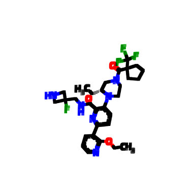 CCOc1ncccc1-c1ccc(N2CCN(C(=O)C3(C(F)(F)F)CCCC3)C[C@H]2CC)c(C(=O)NCC2(F)CNC2)n1